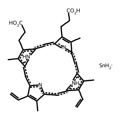 C=CC1=C(C)c2cc3[nH]c(cc4nc(cc5[nH]c(cc1n2)c(C)c5CCC(=O)O)C(CCC(=O)O)=C4C)c(C)c3C=C.[SnH2]